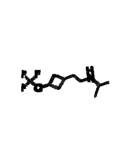 CC(C)NCCC1CC(OC(F)(F)F)C1